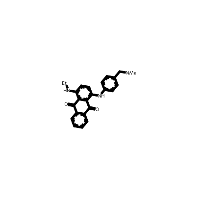 CCNc1ccc(Nc2ccc(CNC)cc2)c2c1C(=O)c1ccccc1C2=O